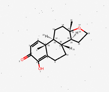 C[C@]12C=CC(=O)C(O)=C1CC[C@@H]1[C@@H]2CC[C@]2(C)OCC[C@@H]12